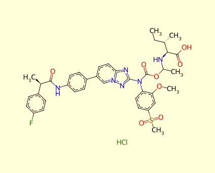 CC[C@H](C)[C@H](NC(C)OC(=O)N(c1nc2ccc(-c3ccc(NC(=O)[C@H](C)c4ccc(F)cc4)cc3)cn2n1)c1ccc(S(C)(=O)=O)cc1OC)C(=O)O.Cl